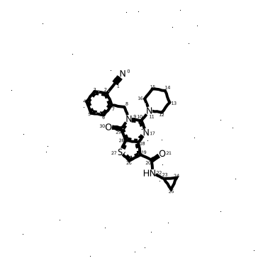 N#Cc1ccccc1Cn1c(N2CCCCC2)nc2c(C(=O)NC3CC3)csc2c1=O